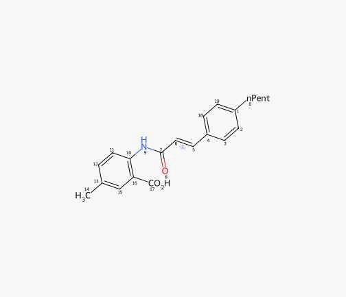 CCCCCc1ccc(/C=C/C(=O)Nc2ccc(C)cc2C(=O)O)cc1